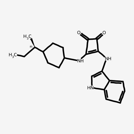 CC[C@@H](C)C1CCC(Nc2c(Nc3c[nH]c4ccccc34)c(=O)c2=O)CC1